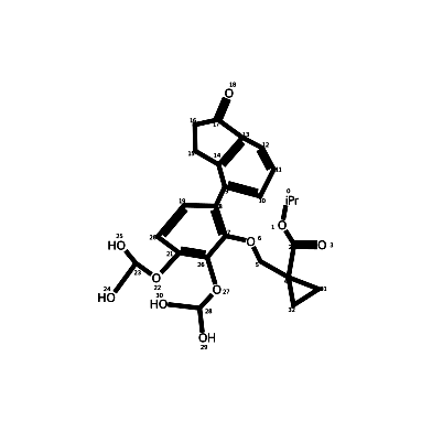 CC(C)OC(=O)C1(COc2c(-c3cccc4c3CCC4=O)ccc(OC(O)O)c2OC(O)O)CC1